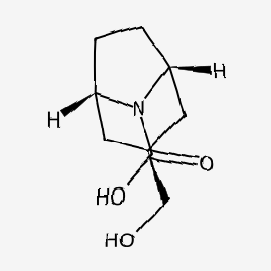 O=C(O)N1[C@@H]2CC[C@H]1C[C@H](CO)C2